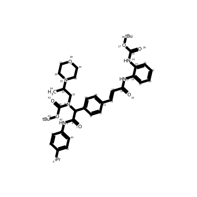 CC(C)c1ccc(NC(=O)C(c2ccc(/C=C/C(=O)Nc3ccccc3NC(=O)OC(C)(C)C)cc2)N(CC(C)N2CCOCC2)C(=O)OC(C)(C)C)cc1